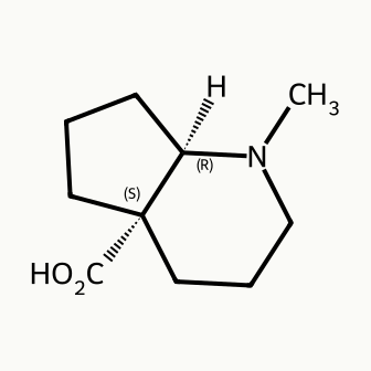 CN1CCC[C@@]2(C(=O)O)CCC[C@@H]12